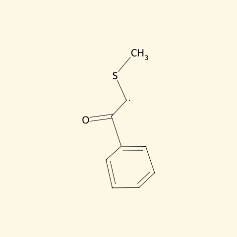 CS[CH]C(=O)c1ccccc1